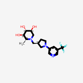 C[C@@H]1[C@@H](O)[C@H](O)[C@@H](O)CN1C[C@H]1CCN(c2cncc(C(F)(F)F)c2)C1